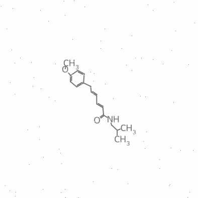 COc1ccc(CC=CC=CC(=O)NCC(C)C)cc1